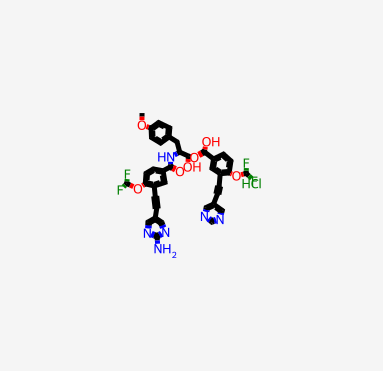 COc1ccc(CC(CO)NC(=O)c2ccc(OC(F)F)c(C#Cc3cnc(N)nc3)c2)cc1.Cl.O=C(O)c1ccc(OC(F)F)c(C#Cc2cncnc2)c1